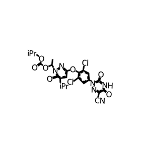 CC(C)OC(=O)OC(C)n1nc(Oc2c(Cl)cc(-n3nc(C#N)c(=O)[nH]c3=O)cc2Cl)cc(C(C)C)c1=O